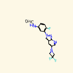 O=CNc1ccc(F)c(-n2cc3cc(N4CC(F)(F)C4)cnc3n2)c1